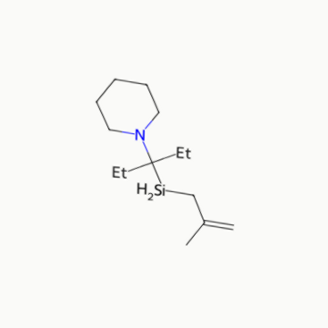 C=C(C)C[SiH2]C(CC)(CC)N1CCCCC1